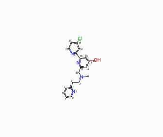 CN(CCc1ccccn1)Cc1cc(O)cc(-c2cc(Cl)ccn2)n1